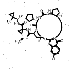 C=C[C@@H]1C[C@]1(NC(=O)[C@@H]1C[C@@H]2CN1C(=O)[C@H](C1CCCC1)NC(=O)O[C@@H]1CCC[C@H]1CCCCCn1c(nc3cc(Cl)ccc3c1=O)O2)C(=O)N[S@+]([O-])C1(C)CC1